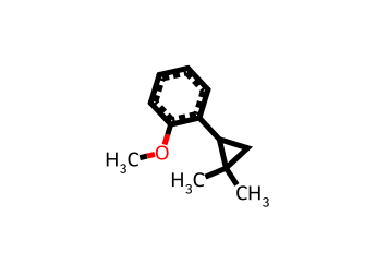 COc1ccccc1C1CC1(C)C